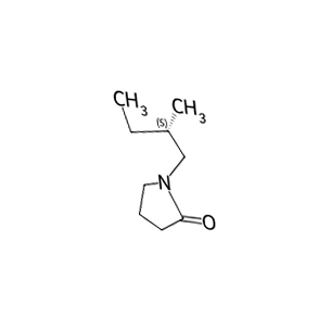 CC[C@H](C)CN1CCCC1=O